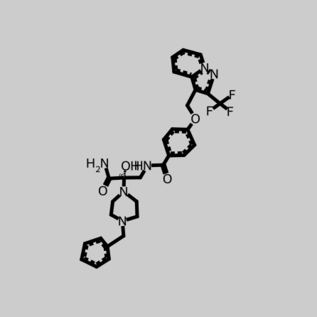 NC(=O)[C@@](O)(CNC(=O)c1ccc(OCc2c(C(F)(F)F)nn3ccccc23)cc1)N1CCN(Cc2ccccc2)CC1